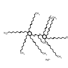 CCCCCC/C=C/CCc1cc(/N=C/C(CCCC)=N/c2cc(CC/C=C/CCCCCC)c(CC/C=C/CCCCCC)c(CC/C=C/CCCCCC)c2CC/C=C/CCCCCC)c(CC/C=C/CCCCCC)c(CC/C=C/CCCCCC)c1CC/C=C/CCCCCC.[Pd+2]